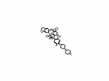 COc1cc(N2CCC(N3CCN(C)CC3)CC2)c(C)cc1Nc1ncc(Cl)c(Nc2cc3c(cc2NS(C)(=O)=O)OCC3)n1